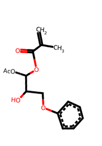 C=C(C)C(=O)OC(OC(C)=O)C(O)COc1ccccc1